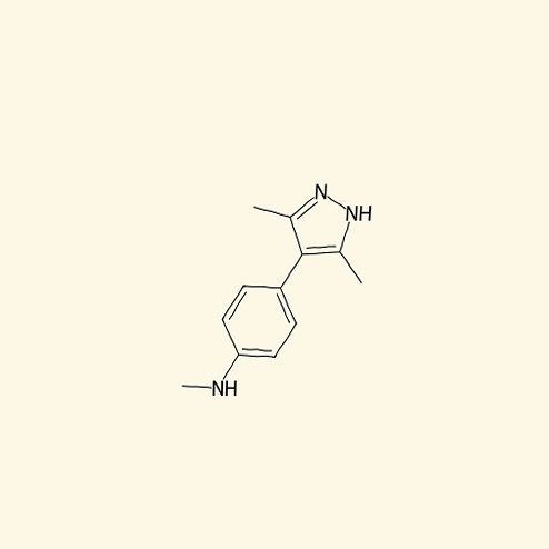 CNc1ccc(-c2c(C)n[nH]c2C)cc1